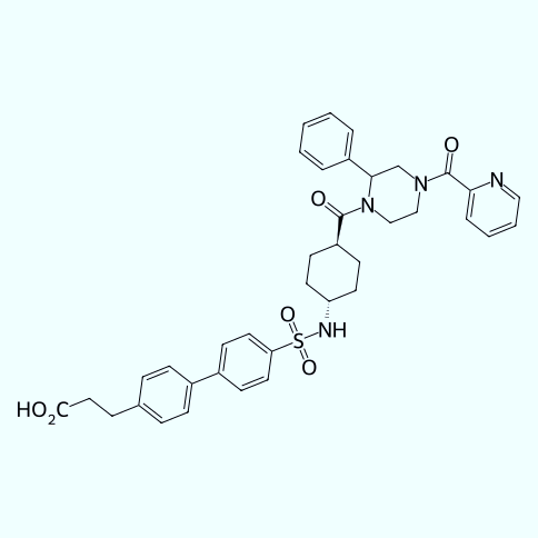 O=C(O)CCc1ccc(-c2ccc(S(=O)(=O)N[C@H]3CC[C@H](C(=O)N4CCN(C(=O)c5ccccn5)CC4c4ccccc4)CC3)cc2)cc1